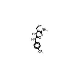 CC(C)C[C@H](NC(=O)Nc1ccc(C(F)(F)F)cc1)C(N)=O